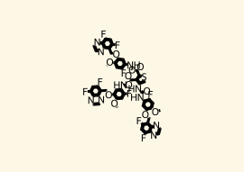 COc1cc(F)c(NOC(=O)c2scc(NC(=O)Nc3cc(OCc4c(F)cc(F)c5nccnc45)c(OC)cc3F)c2C(=O)ONc2cc(OCc3c(F)cc(F)c4nccnc34)c(OC)cc2F)cc1OCc1c(F)cc(F)c2nccnc12